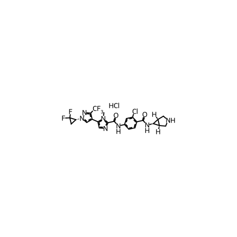 Cl.Cn1c(-c2cn([C@@H]3CC3(F)F)nc2C(F)(F)F)cnc1C(=O)Nc1ccc(C(=O)N[C@H]2[C@@H]3CNC[C@@H]32)c(Cl)c1